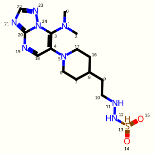 CN(C)c1c(N2CCC(CCNN[SH](=O)=O)CC2)cnc2ncnn12